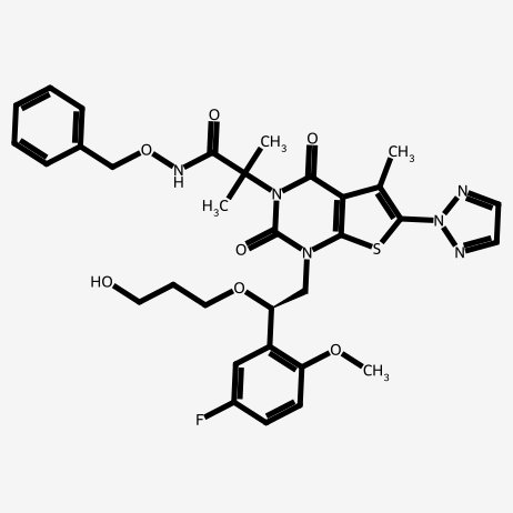 COc1ccc(F)cc1[C@H](Cn1c(=O)n(C(C)(C)C(=O)NOCc2ccccc2)c(=O)c2c(C)c(-n3nccn3)sc21)OCCCO